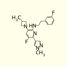 CC1CN(c2cc(F)c(-c3cnn(C)c3)nc2NCCc2cccc(F)c2)C1